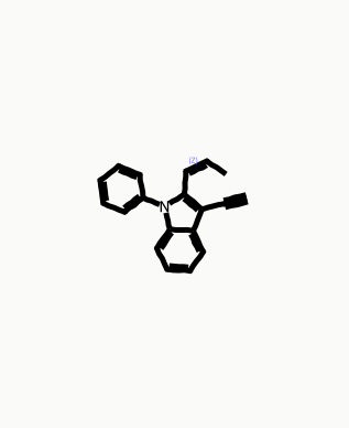 C#Cc1c(/C=C\C)n(-c2ccccc2)c2ccccc12